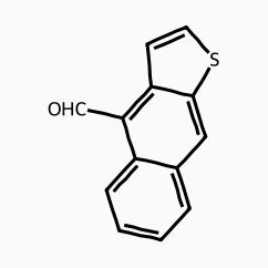 O=Cc1c2ccccc2cc2sccc12